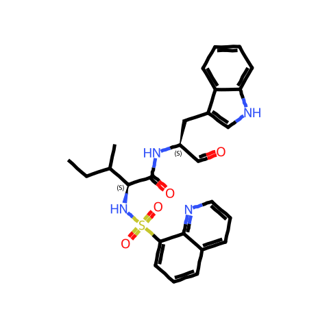 CCC(C)[C@H](NS(=O)(=O)c1cccc2cccnc12)C(=O)N[C@H](C=O)Cc1c[nH]c2ccccc12